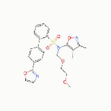 COCCOCN(c1onc(C)c1C)S(=O)(=O)c1ccccc1-c1ccc(-c2ncco2)cc1